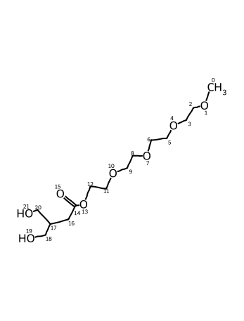 COCCOCCOCCOCCOC(=O)CC(CO)CO